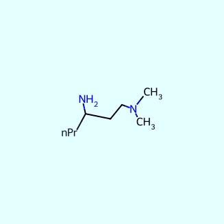 CCCC(N)CCN(C)C